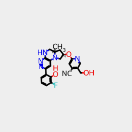 C[C@]12CNc3nnc(-c4cccc(F)c4O)cc3N1C[C@H](Oc1cc(C#N)c(CO)cn1)C2